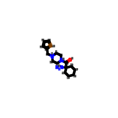 NC1(C(=O)N2CCN(Cc3cccs3)CC2)CCCCC1